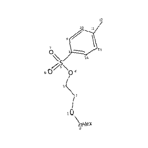 CCCCCCOCCOS(=O)(=O)c1ccc(C)cc1